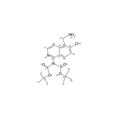 CC(C)(C)OC(=O)N(C(=O)OC(C)(C)C)c1nccc2c(CN)c(Cl)ccc12